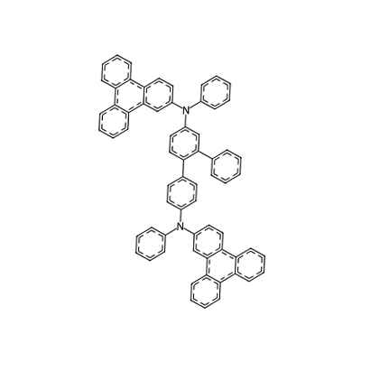 c1ccc(-c2cc(N(c3ccccc3)c3ccc4c5ccccc5c5ccccc5c4c3)ccc2-c2ccc(N(c3ccccc3)c3ccc4c5ccccc5c5ccccc5c4c3)cc2)cc1